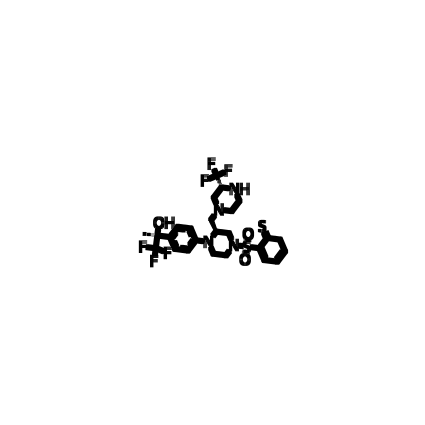 C[C@](O)(c1ccc(N2CCN(S(=O)(=O)C3=CC=CCC3=S)C[C@@H]2CN2CCN[C@@H](C(F)(F)F)C2)cc1)C(F)(F)F